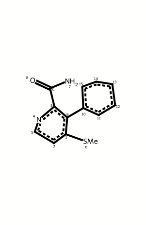 CSc1ccnc(C(N)=O)c1-c1ccccc1